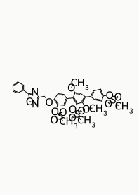 COc1cc(-c2ccc(OS(C)(=O)=O)cc2)c(OC)c(OS(C)(=O)=O)c1-c1ccc(OCc2noc(-c3ccccc3)n2)c(OS(C)(=O)=O)c1